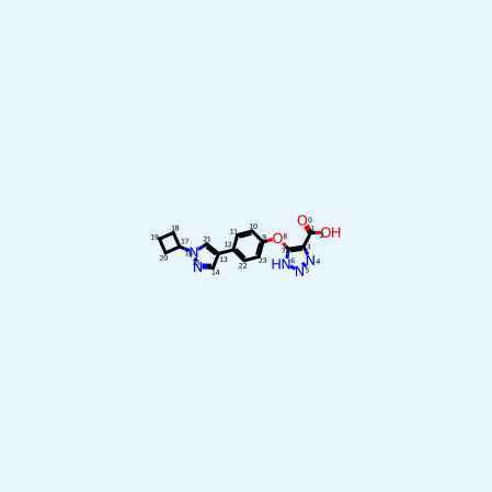 O=C(O)c1nn[nH]c1Oc1ccc(-c2cnn(C3CCC3)c2)cc1